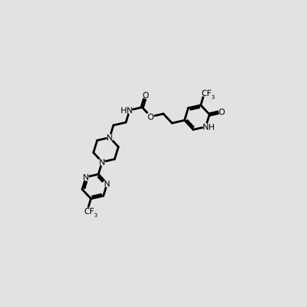 O=C(NCCN1CCN(c2ncc(C(F)(F)F)cn2)CC1)OCCc1c[nH]c(=O)c(C(F)(F)F)c1